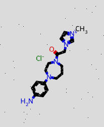 C[n+]1ccn(CC(=O)N2CCCN(c3ccc(N)cc3)CC2)c1.[Cl-]